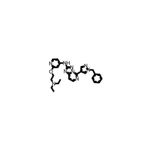 CCN(CC)CCOc1cc(Nc2nc3ccnc(-c4cnn(Cc5ccccc5)c4)n3n2)ccn1